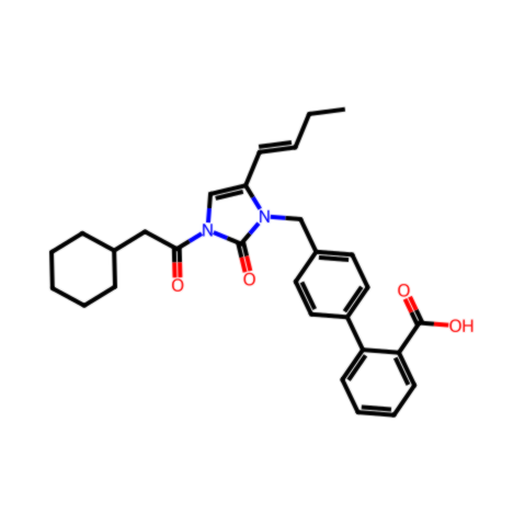 CC/C=C/c1cn(C(=O)CC2CCCCC2)c(=O)n1Cc1ccc(-c2ccccc2C(=O)O)cc1